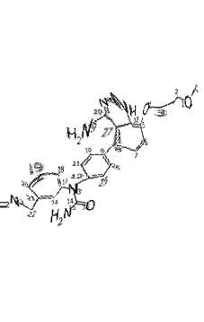 COCCOc1ccc(-c2ccc(N(C(N)=O)c3cccc(CN)c3)cc2)c2c(N)n[nH]c12